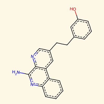 Nc1nc2ccccc2c2cc(CCc3cccc(O)c3)cnc12